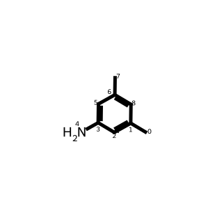 Cc1[c]c(N)cc(C)c1